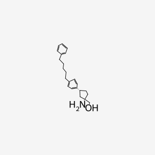 N[C@@]1(CO)CC[C@@H](c2ccc(CCCCCc3ccccc3)cc2)C1